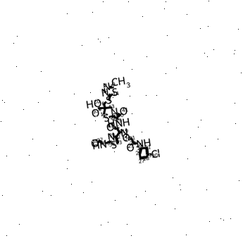 Cc1nnc(SCC2(C(=O)O)CS[C@@H]3C(NC(=O)C(=NOCC(=O)Nc4cccc(Cl)c4)c4csc(NC=O)n4)C(=O)N3C2)s1